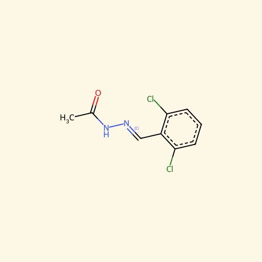 CC(=O)N/N=C/c1c(Cl)cccc1Cl